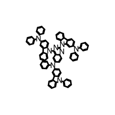 c1ccc(N(c2ccc3nc(-n4c5ccccc5c5ccc(N(c6ccccc6)c6ccccc6)cc54)nc(-n4c5ccccc5c5cc(N(c6ccccc6)c6ccccc6)ccc54)c3c2)c2ccc3c(c2)c2ccccc2n3-c2ccccc2)cc1